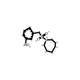 O=[N+]([O-])c1cccc(CS(=O)(=O)N2CCCCCC2)c1